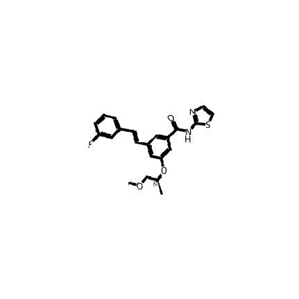 COC[C@H](C)Oc1cc(C=Cc2cccc(F)c2)cc(C(=O)Nc2nccs2)c1